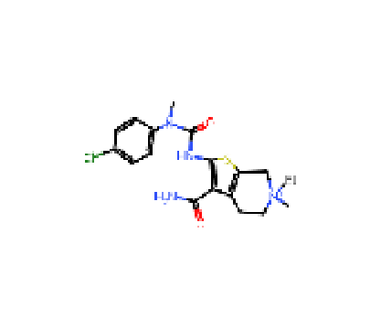 CC[N+]1(C)CCc2c(sc(NC(=O)N(C)c3ccc(Cl)cc3)c2C(N)=O)C1